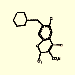 O=C(O)C1=C(Cl)c2cc(Cl)c(CC3CCCCC3)cc2OC1C(F)(F)F